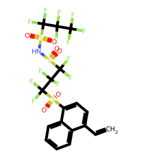 C=Cc1ccc(S(=O)(=O)C(F)(F)C(F)(F)C(F)(F)S(=O)(=O)NS(=O)(=O)C(F)(F)C(F)(F)C(F)(F)F)c2ccccc12